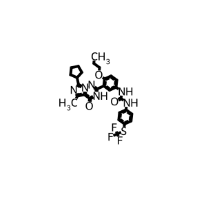 CCCOc1ccc(NC(=O)Nc2ccc(SC(F)(F)F)cc2)cc1-c1nn2c(C3CCCC3)nc(C)c2c(=O)[nH]1